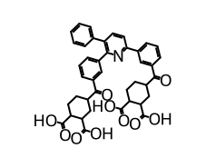 O=C(c1cccc(-c2ccc(-c3ccccc3)c(-c3cccc(C(=O)C4CCC(C(=O)O)C(C(=O)O)C4)c3)n2)c1)C1CCC(C(=O)O)C(C(=O)O)C1